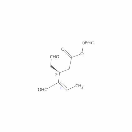 C/C=C(/C=O)[C@@H](CC=O)CC(=O)OCCCCC